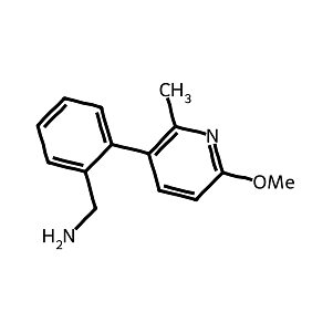 COc1ccc(-c2ccccc2CN)c(C)n1